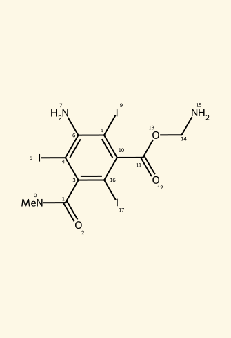 CNC(=O)c1c(I)c(N)c(I)c(C(=O)OCN)c1I